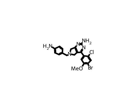 COc1cc(-c2nc(N)nc3c2CN(Cc2ccc(N)cc2)C3)c(Cl)cc1Br